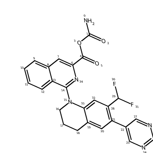 NC(=O)OC(=O)c1cc2ccccc2c(N2CCCc3cc(-c4cncnc4)c(C(F)F)cc32)n1